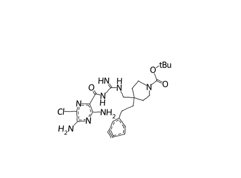 CC(C)(C)OC(=O)N1CCC(CCc2cc#ccc2)(CNC(=N)NC(=O)c2nc(Cl)c(N)nc2N)CC1